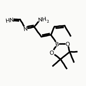 C\C=C/C(=C\C(N)=N\C=N)B1OC(C)(C)C(C)(C)O1